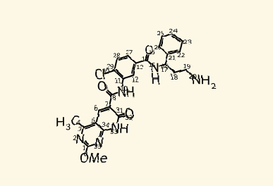 COc1nc(C)c2cc(C(=O)Nc3cc(C(=O)N[C@H](CCN)c4ccccc4)ccc3Cl)c(=O)[nH]c2n1